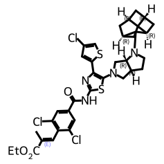 CCOC(=O)/C(C)=C/c1c(Cl)cc(C(=O)Nc2nc(-c3cc(Cl)cs3)c(N3C[C@H]4CCN(C5[C@@H]6C[C@H]7C[C@@H]8C[C@@H]5C87C6)[C@H]4C3)s2)cc1Cl